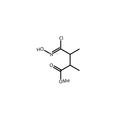 COC(=O)C(C)C(C)/C(Cl)=N/O